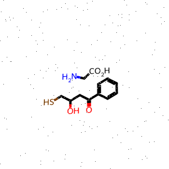 NCC(=O)O.O=C(CC(O)CS)c1ccccc1